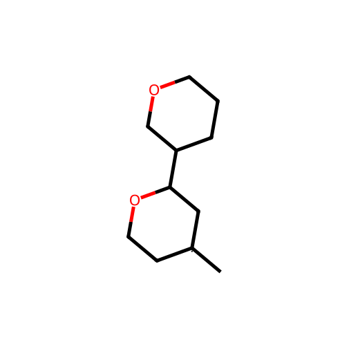 C[C]1CCOC(C2CCCOC2)C1